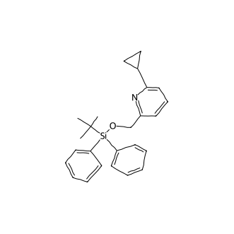 CC(C)(C)[Si](OCc1cccc(C2CC2)n1)(c1ccccc1)c1ccccc1